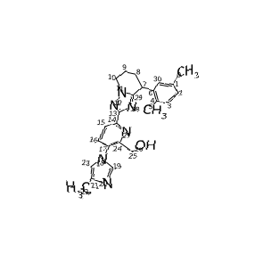 Cc1ccc(C)c(C2CCCn3nc(-c4ccc(-n5cnc(C)c5)c(CO)n4)nc32)c1